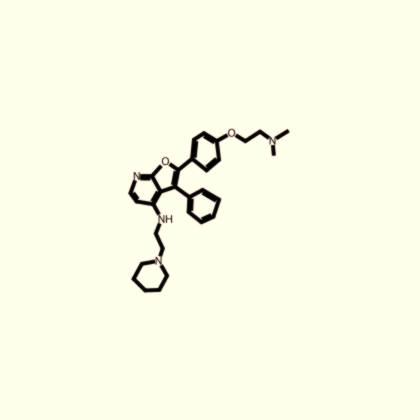 CN(C)CCOc1ccc(-c2oc3nccc(NCCN4CCCCC4)c3c2-c2ccccc2)cc1